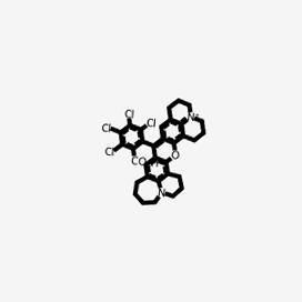 O=C(O)c1c(Cl)c(Cl)c(Cl)c(Cl)c1C1=c2cc3c4c(c2Oc2c1cc1c5c2CCCN5CCCC1)CCC[N+]=4CCC3